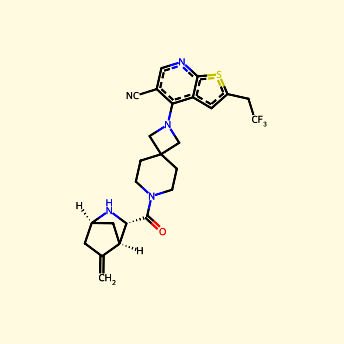 C=C1C[C@@H]2C[C@H]1[C@@H](C(=O)N1CCC3(CC1)CN(c1c(C#N)cnc4sc(CC(F)(F)F)cc14)C3)N2